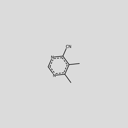 Cc1ncnc(C#N)c1C